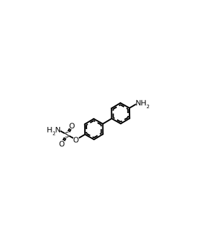 Nc1ccc(-c2ccc(OS(N)(=O)=O)cc2)cc1